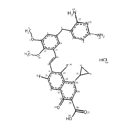 COc1cc(Cc2cnc(N)nc2N)cc(C=Cc2c(F)cc3c(=O)c(C(=O)O)cn(C4CC4)c3c2F)c1OC.Cl